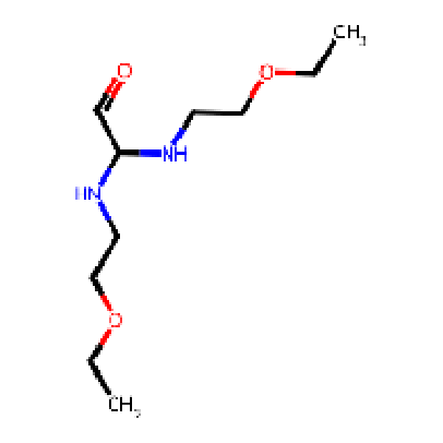 CCOCCNC(C=O)NCCOCC